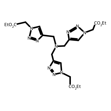 CCOC(=O)Cn1cc(CN(Cc2cn(CC(=O)OCC)nn2)Cc2cn(CC(=O)OCC)nn2)nn1